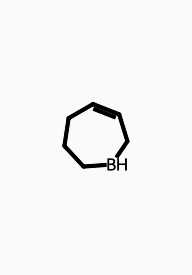 B1CC=CCCC1